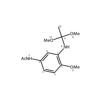 COc1ccc(NC(C)=O)cc1NC(C)(OC)OC